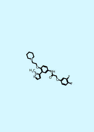 Cn1nccc1-c1cc(NC(=O)COc2ccc(F)c(F)c2)ccc1OCCN1CCCCC1